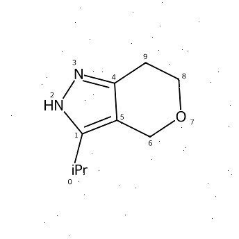 CC(C)c1[nH]nc2c1COCC2